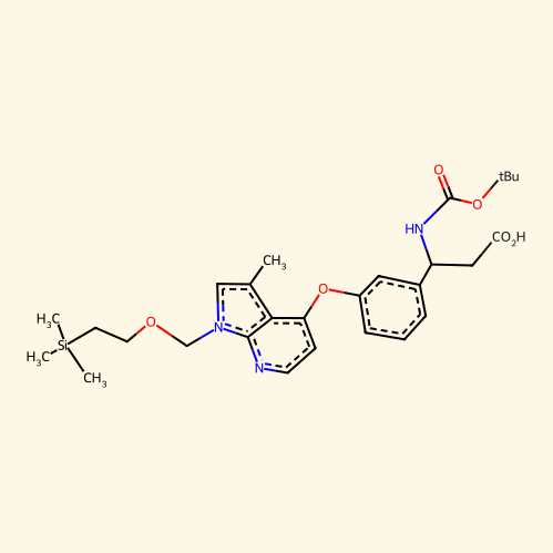 Cc1cn(COCC[Si](C)(C)C)c2nccc(Oc3cccc(C(CC(=O)O)NC(=O)OC(C)(C)C)c3)c12